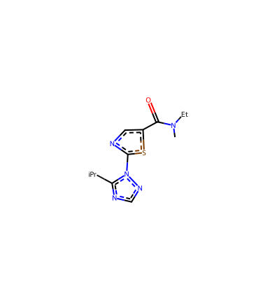 CCN(C)C(=O)c1cnc(-n2ncnc2C(C)C)s1